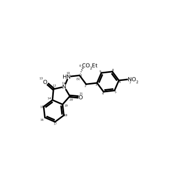 CCOC(=O)[C@H](Cc1ccc([N+](=O)[O-])cc1)NN1C(=O)c2ccccc2C1=O